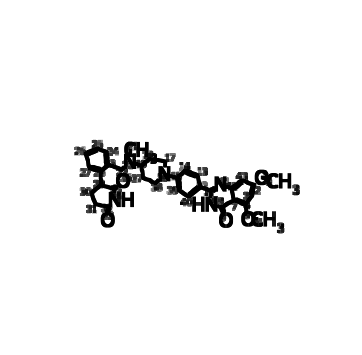 COc1cc(OC)c2c(=O)[nH]c(-c3ccc(N4CCC(N(C)Cc5ccccc5C5CCC(=O)NC5=O)CC4)cc3)nc2c1